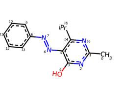 Cc1nc(O)c(N=Nc2ccccc2)c(C(C)C)n1